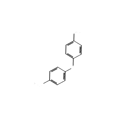 O=Cc1ccc(Oc2ccc(C(=O)O)cc2)cc1